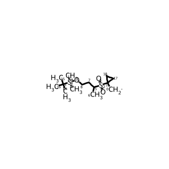 [CH2]C1(S(=O)(=O)C(C)CCO[Si](C)(C)C(C)(C)C)CC1